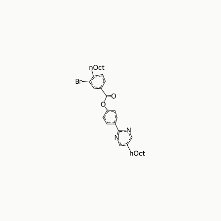 CCCCCCCCc1cnc(-c2ccc(OC(=O)c3ccc(CCCCCCCC)c(Br)c3)cc2)nc1